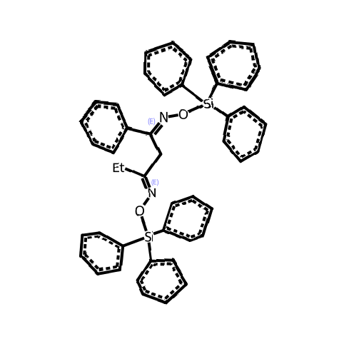 CC/C(C/C(=N\O[Si](c1ccccc1)(c1ccccc1)c1ccccc1)c1ccccc1)=N\O[Si](c1ccccc1)(c1ccccc1)c1ccccc1